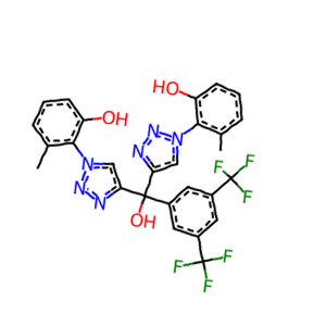 Cc1cccc(O)c1-n1cc(C(O)(c2cc(C(F)(F)F)cc(C(F)(F)F)c2)c2cn(-c3c(C)cccc3O)nn2)nn1